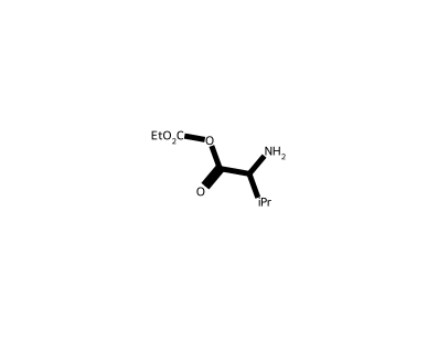 CCOC(=O)OC(=O)C(N)C(C)C